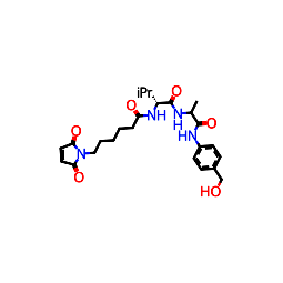 CC(NC(=O)[C@H](NC(=O)CCCCCN1C(=O)C=CC1=O)C(C)C)C(=O)Nc1ccc(CO)cc1